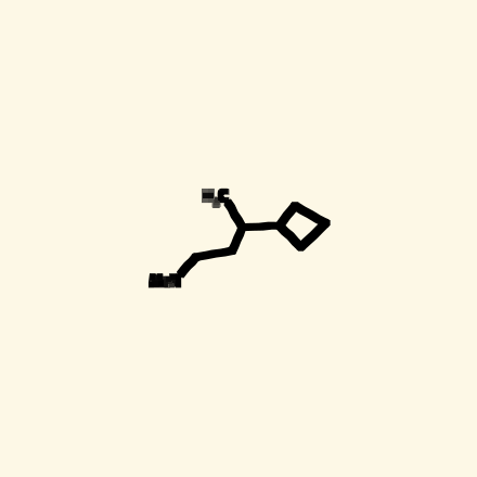 CNCCC(C)C1CCC1